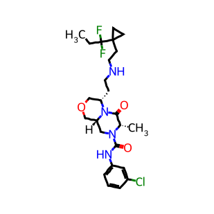 CCC(F)(F)C1(CCNCC[C@H]2COC[C@H]3CN(C(=O)Nc4cccc(Cl)c4)[C@@H](C)C(=O)N23)CC1